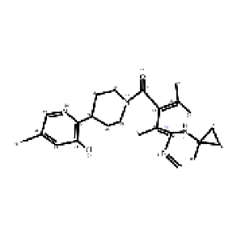 C=N/C(NC1(C)CC1)=C(\C)C(C(=O)N1CCC(c2ncc(F)cc2Cl)CC1)=C(C)C